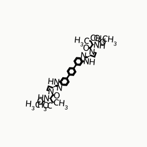 COC(=O)N[C@H](C(=O)N1CC[C@H]1c1nc2ccc(-c3ccc(-c4ccc5nc([C@@H]6CCN6C(=O)[C@@H](NC(=O)OC)C(C)C)[nH]c5c4)cc3)cc2[nH]1)C(C)C